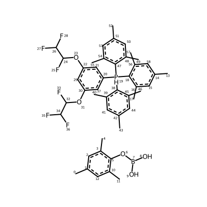 Cc1cc(C)c(OB(O)O)c(C)c1.Cc1cc(C)c([PH](c2cc(OC(F)C(F)F)cc(OC(F)C(F)F)c2)(c2c(C)cc(C)cc2C)c2c(C)cc(C)cc2C)c(C)c1